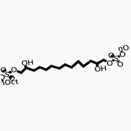 CCCCCCCCOS(=O)(=O)OCC(O)CCCCCCCCCCC(O)COS(=O)(=O)OCCCCCCCC